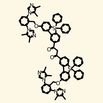 Cc1ncn(-c2cccc(-n3cnc(C)c3C)c2COc2ccc3c(c2)-c2cc(C(=O)CC(=O)c4ccc5c(c4)-c4cc(OCc6c(-n7cnc(C)c7C)cccc6-n6cnc(C)c6C)ccc4[Si]5(c4ccccc4)c4ccccc4)ccc2[Si]3(c2ccccc2)c2ccccc2)c1C